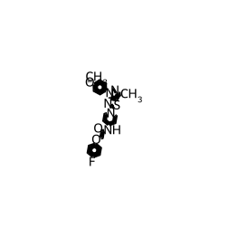 COc1ccc(-n2nc(C)c3sc(N4CCC(NC(=O)COc5ccc(F)cc5)CC4)nc32)cc1